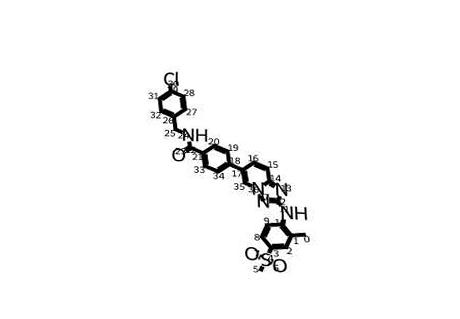 Cc1cc(S(C)(=O)=O)ccc1Nc1nc2ccc(-c3ccc(C(=O)NCc4ccc(Cl)cc4)cc3)cn2n1